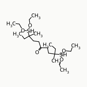 CCO[SiH](OCC)C(C)(CC)CCC(=O)CCC(C)(CC)[SiH](OCC)OCC